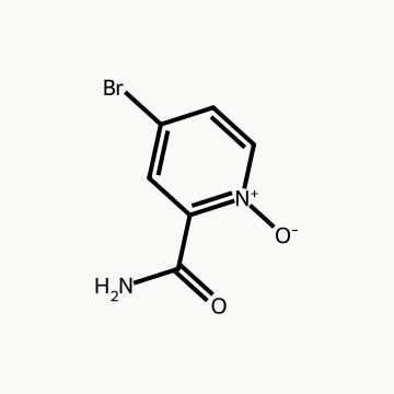 NC(=O)c1cc(Br)cc[n+]1[O-]